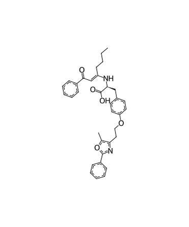 CCCC/C(=C\C(=O)c1ccccc1)N[C@@H](Cc1ccc(OCCc2nc(-c3ccccc3)oc2C)cc1)C(=O)O